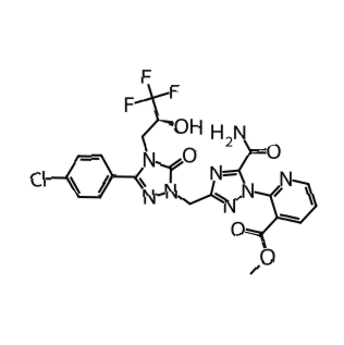 COC(=O)c1cccnc1-n1nc(Cn2nc(-c3ccc(Cl)cc3)n(C[C@H](O)C(F)(F)F)c2=O)nc1C(N)=O